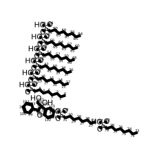 CCCCCCCCS(=O)(=O)O.CCCCCCCCS(=O)(=O)O.CCCCCCCCS(=O)(=O)O.CCCCCCCCS(=O)(=O)O.CCCCCCCCS(=O)(=O)O.CCCCCCCCS(=O)(=O)O.CCCCCCCCS(=O)(=O)O.CCCCCCCCS(=O)(=O)O.O=C(c1ccccc1)C(O)(CO)c1ccccc1